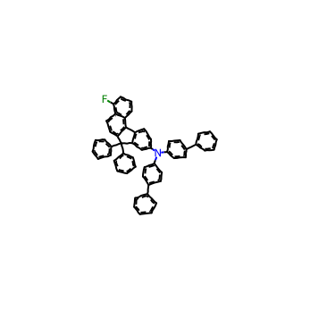 Fc1cccc2c3c(ccc12)C(c1ccccc1)(c1ccccc1)c1cc(N(c2ccc(-c4ccccc4)cc2)c2ccc(-c4ccccc4)cc2)ccc1-3